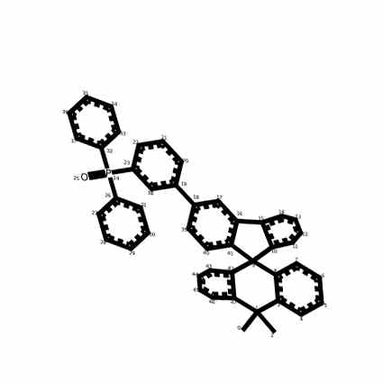 CC1(C)c2ccccc2C2(c3ccccc3-c3cc(-c4cccc(P(=O)(c5ccccc5)c5ccccc5)c4)ccc32)c2ccccc21